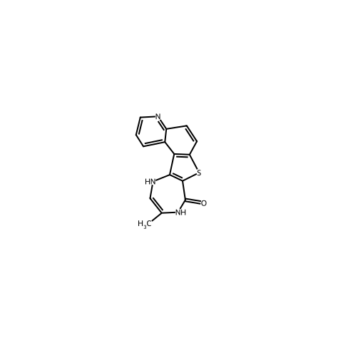 CC1=CNc2c(sc3ccc4ncccc4c23)C(=O)N1